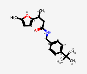 Cc1ccc(C(C)CC(=O)NCc2ccc(C(C)(C)C)cc2)o1